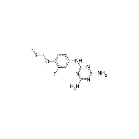 CSCOc1ccc(Nc2nc(N)nc(N)n2)cc1F